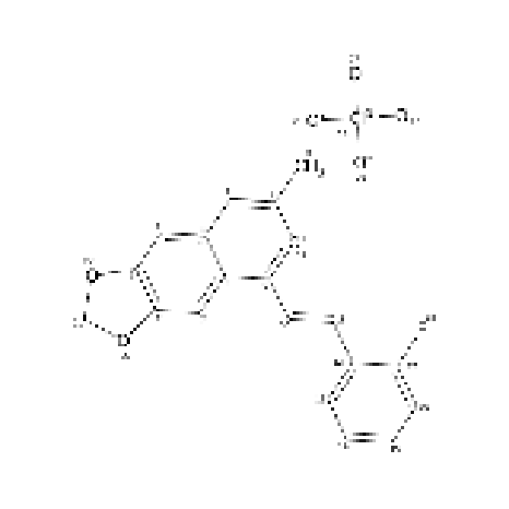 Cc1cc2cc3c(cc2c(C=Cc2ccccc2F)[o+]1)OCO3.[O-][Cl+3]([O-])([O-])[O-]